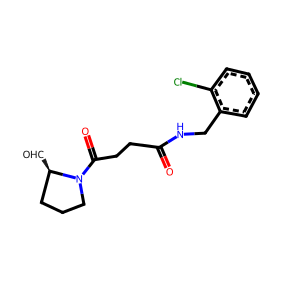 O=C[C@@H]1CCCN1C(=O)CCC(=O)NCc1ccccc1Cl